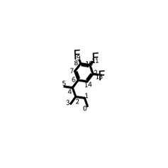 CCC(C)C(C)c1cc(F)c(F)c(F)c1